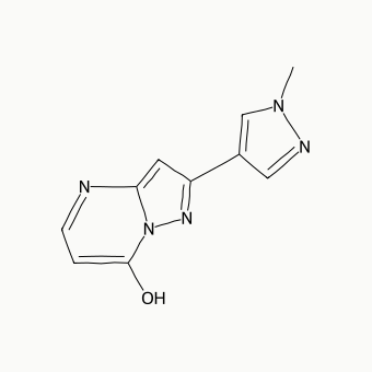 Cn1cc(-c2cc3nccc(O)n3n2)cn1